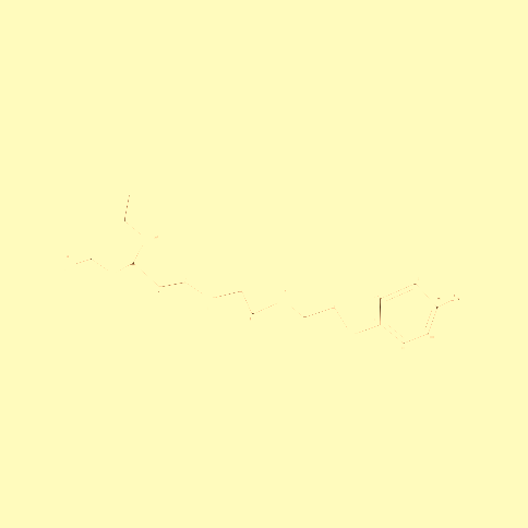 CCOC(CCOCCOCCOc1ccc(N)cc1)OCC